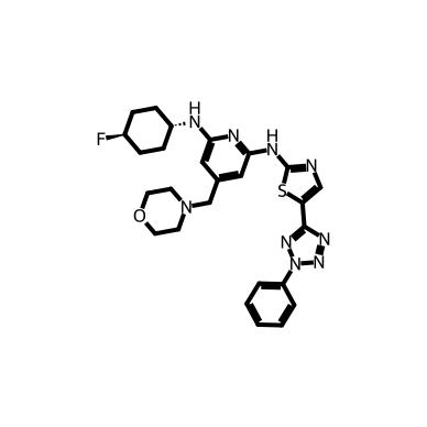 F[C@H]1CC[C@H](Nc2cc(CN3CCOCC3)cc(Nc3ncc(-c4nnn(-c5ccccc5)n4)s3)n2)CC1